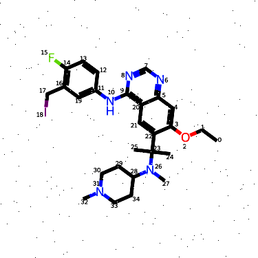 CCOc1cc2ncnc(Nc3ccc(F)c(CI)c3)c2cc1C(C)(C)N(C)C1CCN(C)CC1